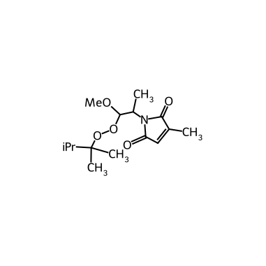 COC(OOC(C)(C)C(C)C)C(C)N1C(=O)C=C(C)C1=O